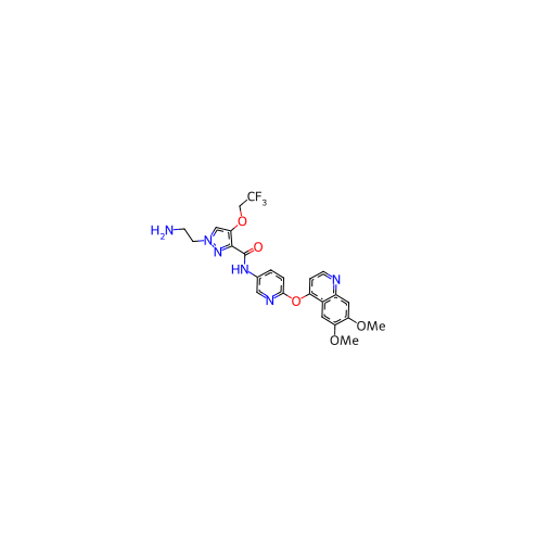 COc1cc2nccc(Oc3ccc(NC(=O)c4nn(CCN)cc4OCC(F)(F)F)cn3)c2cc1OC